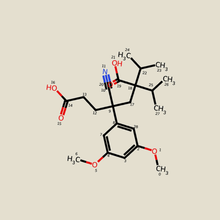 COc1cc(OC)cc(C(C#N)(CCC(=O)O)CC(C(=O)O)(C(C)C)C(C)C)c1